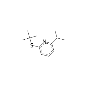 CC(C)c1cccc(SC(C)(C)C)n1